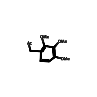 COc1ccc(CC(C)=O)c(OC)c1OC